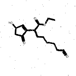 CCOC(=O)C(CCCCCC=O)C1=CC(O)CC1=O